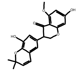 COc1cc(O)cc2c1C(=O)C(c1cc(O)c3c(c1)C=CC(C)(C)O3)CO2